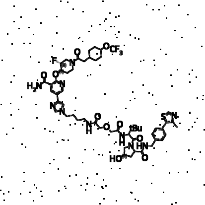 Cc1ncsc1-c1ccc(CNC(=O)C2C[C@@H](O)CN2C(=O)C(NC(=O)COCC(=O)NCCCCn2cnc(-c3cnc(O[C@@H]4CCN(C(=O)CC5CCC(OC(F)(F)F)CC5)C[C@H]4F)c(C(N)=O)c3)c2)C(C)(C)C)cc1